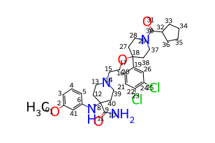 COc1cccc(NC2(C(N)=O)CCN(CCOC3(c4ccc(Cl)c(Cl)c4)CCN(C(=O)C4CCCC4)CC3)CC2)c1